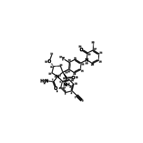 C#Cc1ccc([N+]2(C(N)=O)C[C@H](OC)C[C@]2(C(N)=O)c2ccc(-n3cccc(C)c3=O)cc2F)cc1